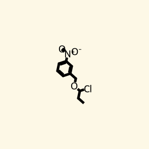 CCC(Cl)OCc1cccc([N+](=O)[O-])c1